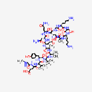 CCNCC(=O)NC(CCC(=O)O)C(=O)N[C@H](C(=O)NC(Cc1ccc(O)cc1)C(=O)N[C@H](C(=O)NC(C(=O)N[C@@H](C)C(=O)NC(CCC(=O)O)C(=O)N[C@@H](CC(N)=O)C(=O)NC(CCC(N)=O)C(=O)N[C@@H](CCC(N)=O)C(=O)NCC(=O)N[C@@H](CCCCN)C(=O)NC(CO)C(=O)N[C@@H](CCCCN)C(=O)NC(C)C(N)=O)C(C)C)C(C)C)C(C)C